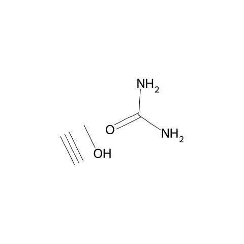 C#C.CO.NC(N)=O